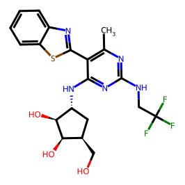 Cc1nc(NCC(F)(F)F)nc(N[C@@H]2C[C@@H](CO)[C@@H](O)[C@H]2O)c1-c1nc2ccccc2s1